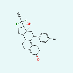 C#CC(F)(F)[C@]1(O)CCC2C3CCC4=CC(=O)CCC4=C3C(c3ccc(C(C)=O)cc3)C[C@@]21C